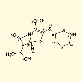 CC(O)C1C(=O)N2C([C]=O)=C(SC3CCCNC3)C[C@H]12